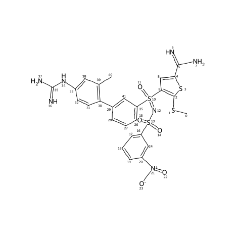 CSc1sc(C(=N)N)cc1S(=O)(=NS(=O)(=O)c1cccc([N+](=O)[O-])c1)c1cccc(-c2ccc(NC(=N)N)cc2C)c1